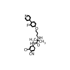 CC(C)(NCCCOc1ccc(-c2ccncc2)c(F)c1)C(=O)N[C@@H]1C=C(Cl)C(C#N)=CC1